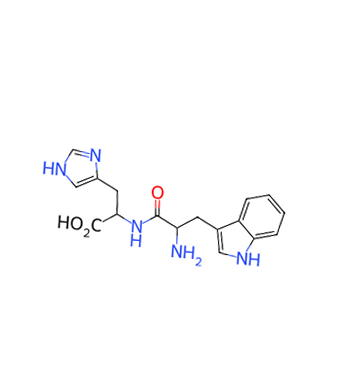 NC(Cc1c[nH]c2ccccc12)C(=O)NC(Cc1c[nH]cn1)C(=O)O